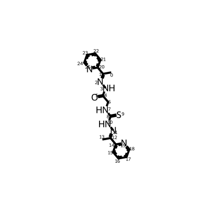 C/C(=N\NC(=O)CNC(=S)N/N=C(\C)c1ccccn1)c1ccccn1